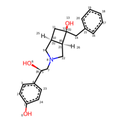 Oc1ccc([C@@H](O)CN2C[C@H]3C[C@](O)(Cc4ccccc4)[C@H]3C2)cc1